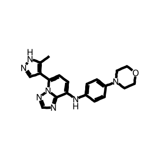 Cc1[nH]ncc1-c1ccc(Nc2ccc(N3CCOCC3)cc2)c2ncnn12